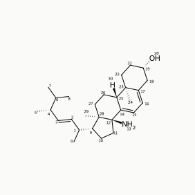 CC(/C=C/[C@H](C)C(C)C)[C@H]1CC[C@@]2(N)C3=CC=C4C[C@@H](O)CC[C@]4(C)[C@H]3CC[C@]12C